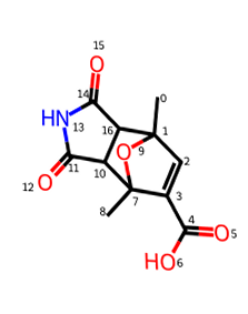 CC12C=C(C(=O)O)C(C)(O1)C1C(=O)NC(=O)C12